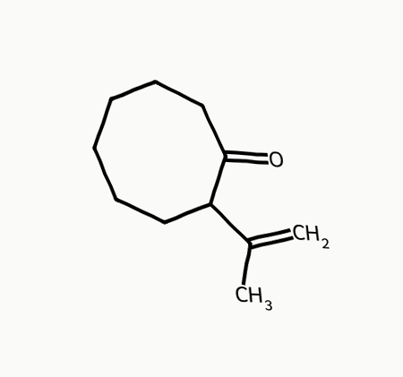 C=C(C)C1CCCCCCC1=O